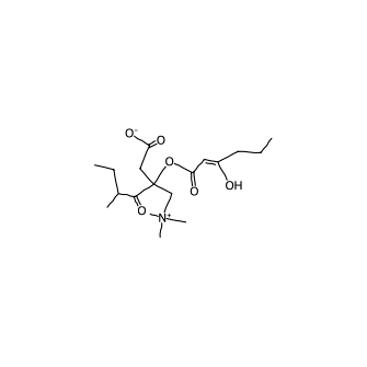 CCCC(O)=CC(=O)OC(CC(=O)[O-])(C[N+](C)(C)C)C(=O)C(C)CC